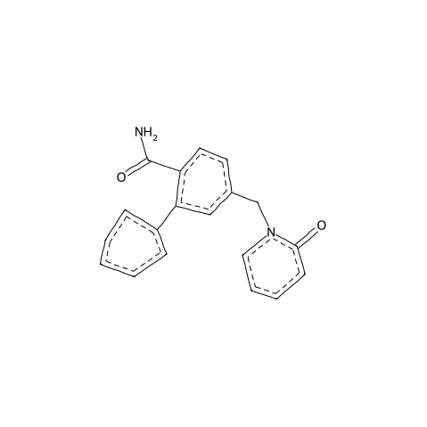 NC(=O)c1ccc(Cn2ccccc2=O)cc1-c1ccccc1